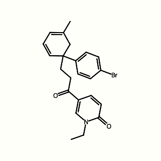 CCn1cc(C(=O)CCC2(c3ccc(Br)cc3)C=CC=C(C)C2)ccc1=O